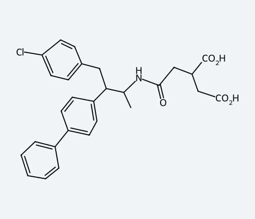 CC(NC(=O)CC(CC(=O)O)C(=O)O)C(Cc1ccc(Cl)cc1)c1ccc(-c2ccccc2)cc1